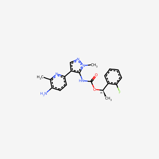 Cc1nc(-c2cnn(C)c2NC(=O)O[C@H](C)c2ccccc2F)ccc1N